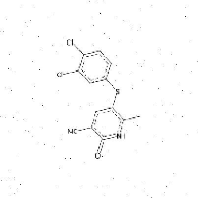 Cc1[nH]c(=O)c(C#N)cc1Sc1ccc(Cl)c(Cl)c1